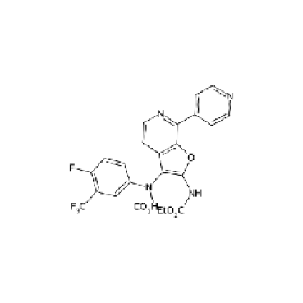 CCOC(=O)Nc1oc2c(-c3ccncc3)nccc2c1N(C(=O)O)c1ccc(F)c(C(F)(F)F)c1